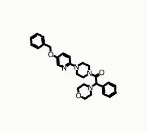 O=C(C(c1ccccc1)N1CCOCC1)N1CCN(c2ccc(OCc3ccccc3)cn2)CC1